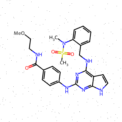 COCCNC(=O)c1ccc(Nc2nc(NCc3ccccc3N(C)S(C)(=O)=O)c3cc[nH]c3n2)cc1